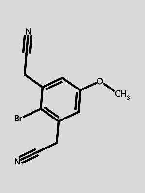 COc1cc(CC#N)c(Br)c(CC#N)c1